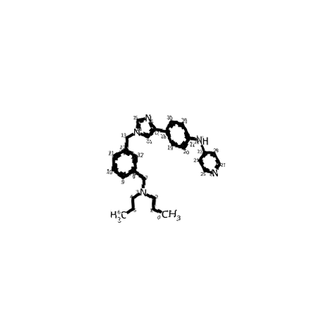 CCCN(CCC)Cc1cccc(Cn2cnc(-c3ccc(Nc4ccncc4)cc3)c2)c1